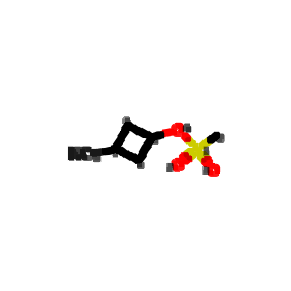 CS(=O)(=O)OC1CC(C#N)C1